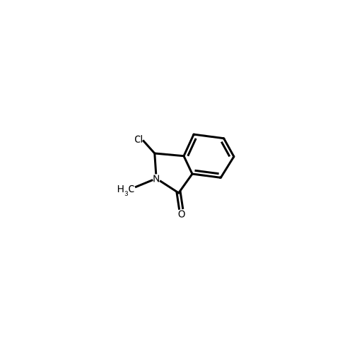 CN1C(=O)c2ccccc2C1Cl